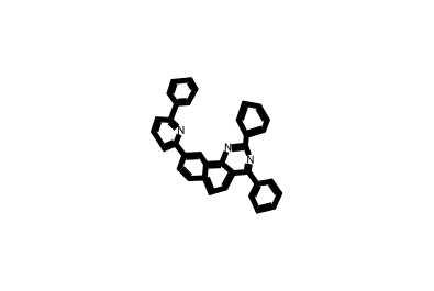 c1ccc(-c2cccc(-c3ccc4ccc5c(-c6ccccc6)nc(-c6ccccc6)nc5c4c3)n2)cc1